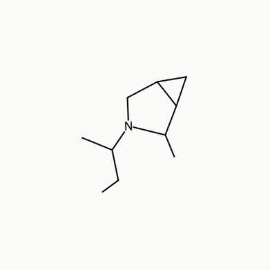 CCC(C)N1CC2CC2C1C